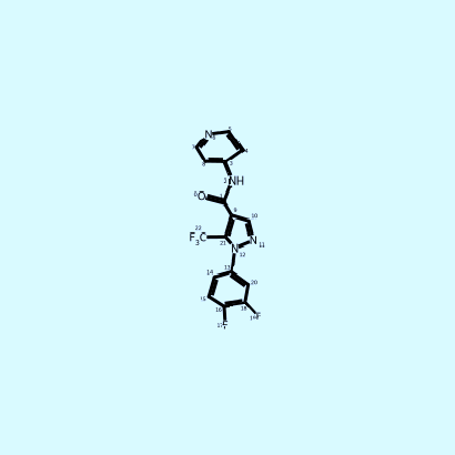 O=C(Nc1ccncc1)c1cnn(-c2ccc(F)c(F)c2)c1C(F)(F)F